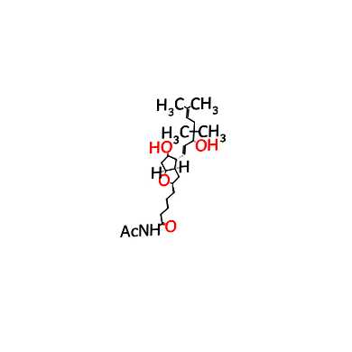 CC(=O)NC(=O)CCCC[C@@H]1C[C@@H]2[C@@H](/C=C/[C@@H](O)C(C)(C)CC=C(C)C)[C@H](O)C[C@@H]2O1